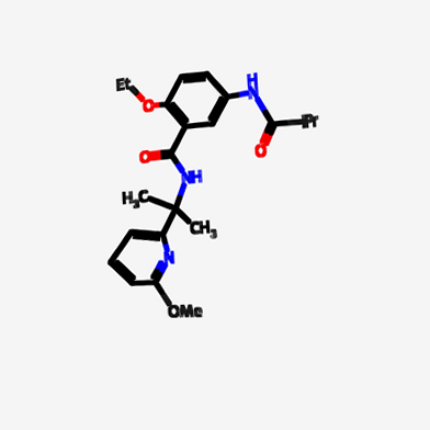 CCOc1ccc(NC(=O)C(C)C)cc1C(=O)NC(C)(C)c1cccc(OC)n1